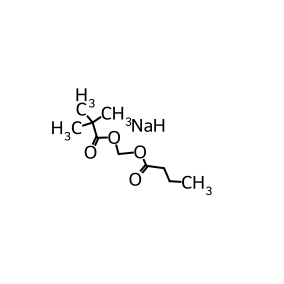 CCCC(=O)OCOC(=O)C(C)(C)C.[NaH]